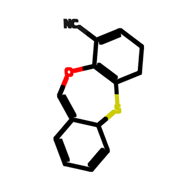 N#CC1=CCCC2=C1OC=C1C=CC=CC1S2